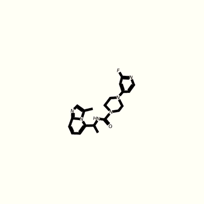 Cc1cnc2cccc(C(C)NC(=O)N3CCN(c4ccnc(F)c4)CC3)n12